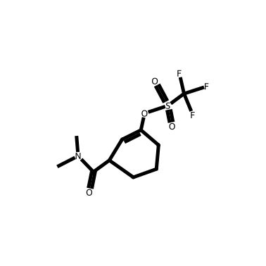 CN(C)C(=O)C1C=C(OS(=O)(=O)C(F)(F)F)CCC1